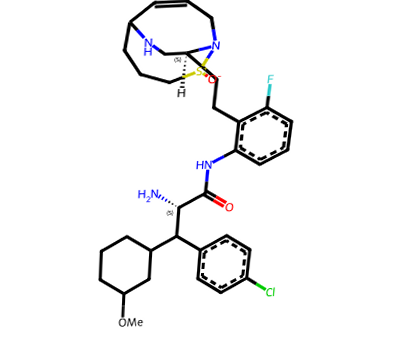 COC1CCCC(C(c2ccc(Cl)cc2)[C@H](N)C(=O)Nc2cccc(F)c2CC[C@H]2CNC3C#CCN2[S+]([O-])CCC3)C1